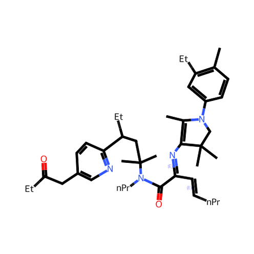 CCC/C=C/C(=N\C1=C(C)N(c2ccc(C)c(CC)c2)CC1(C)C)C(=O)N(CCC)C(C)(C)CC(CC)c1ccc(CC(=O)CC)cn1